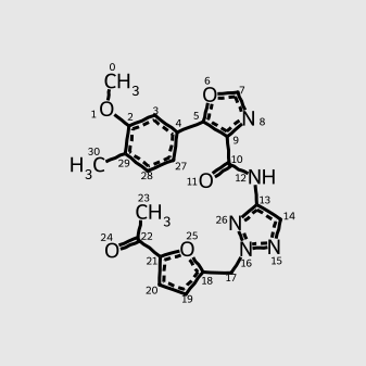 COc1cc(-c2ocnc2C(=O)Nc2cnn(Cc3ccc(C(C)=O)o3)n2)ccc1C